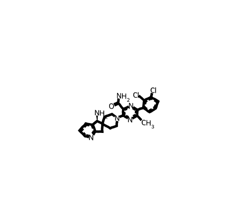 Cc1nc(N2CCC3(CC2)Cc2ncccc2[C@H]3N)c(C(N)=O)nc1-c1cccc(Cl)c1Cl